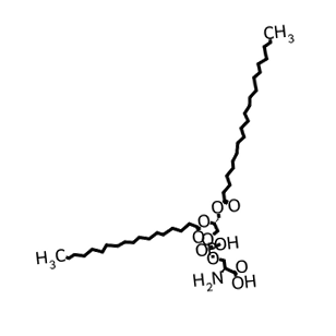 CCCCCCCCCCCCCCCCCCCCCC(=O)OC[C@H](COP(=O)(O)OC[C@H](N)C(=O)O)OC(=O)CCCCCCCCCCCCCCCCC